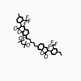 CCc1ccc(-c2cc3ccc(CCC(CCc4ccc5cc(-c6ccc(C)cc6C(F)(F)F)c(=O)oc5c4)OC(C)(C)CC(C)(C)O)cc3oc2=O)c(C(F)(F)F)c1